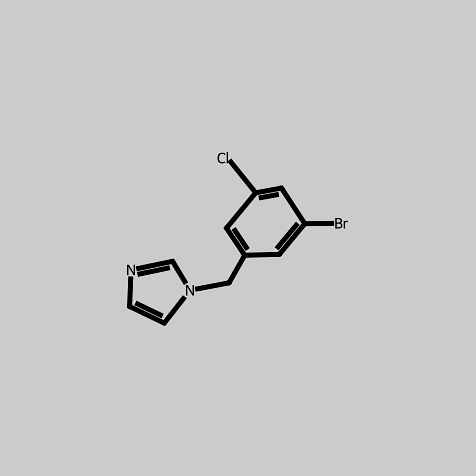 Clc1cc(Br)cc(Cn2ccnc2)c1